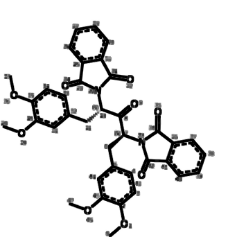 COc1ccc(C[C@@H](C(=O)[C@H](Cc2ccc(OC)c(OC)c2)N2C(=O)c3ccccc3C2=O)N2C(=O)c3ccccc3C2=O)cc1OC